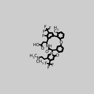 Cc1cccc2c1-c1cc(c(F)c(C(F)(F)F)c1)C(CC(=O)O)NC(=O)C(n1cc(CCN(C)C)c(C(F)(F)F)cc1=O)c1cccc(c1)O2